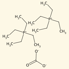 CC[P+](CC)(CC)CC.CC[P+](CC)(CC)CC.O=C([O-])[O-]